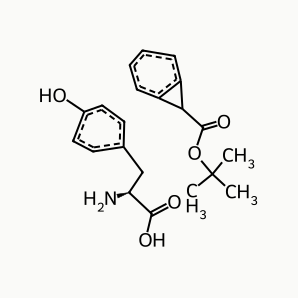 CC(C)(C)OC(=O)C1c2ccccc21.N[C@@H](Cc1ccc(O)cc1)C(=O)O